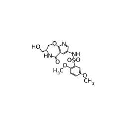 COc1ccc(OC)c(S(=O)(=O)Nc2cnc3c(c2)C(=O)N[C@@H](CO)CO3)c1